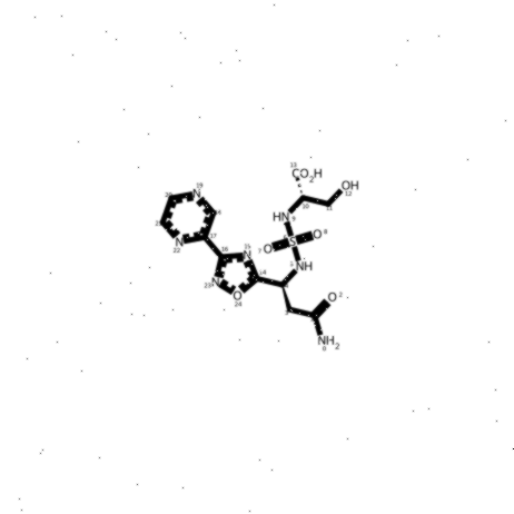 NC(=O)C[C@H](NS(=O)(=O)N[C@@H](CO)C(=O)O)c1nc(-c2cnccn2)no1